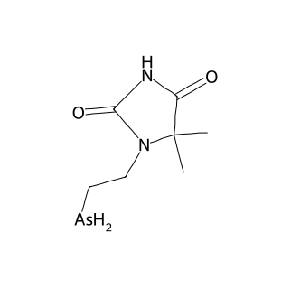 CC1(C)C(=O)NC(=O)N1CC[AsH2]